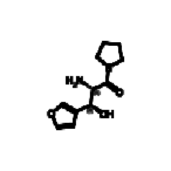 N[C@H](C(=O)N1CCCC1)[C@@H](O)c1ccoc1